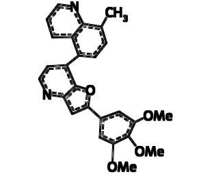 COc1cc(-c2cc3nccc(-c4ccc(C)c5ncccc45)c3o2)cc(OC)c1OC